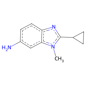 Cn1c(C2CC2)nc2ccc(N)cc21